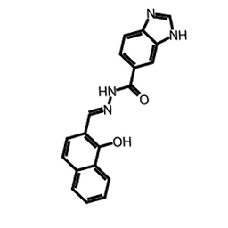 O=C(NN=Cc1ccc2ccccc2c1O)c1ccc2nc[nH]c2c1